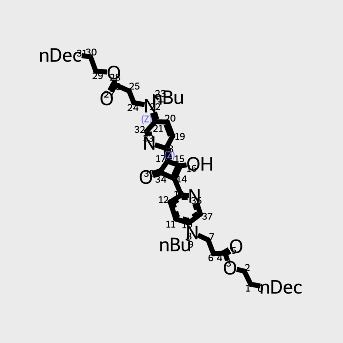 CCCCCCCCCCCCOC(=O)CCN(CCCC)c1ccc(C2=C(O)/C(=C3C=C/C(=[N+](\CCCC)CCC(=O)OCCCCCCCCCCCC)C=N\3)C2=O)nc1